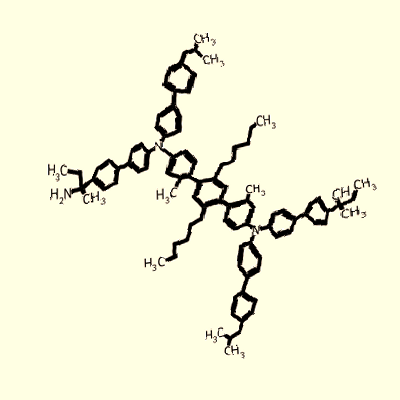 CCCCCCc1cc(-c2ccc(N(c3ccc(-c4ccc(CC(C)C)cc4)cc3)c3ccc(-c4ccc(C(C)(N)CC)cc4)cc3)cc2C)c(CCCCCC)cc1-c1ccc(N(c2ccc(-c3ccc(CC(C)C)cc3)cc2)c2ccc(-c3ccc(C(C)(C)CC)cc3)cc2)cc1C